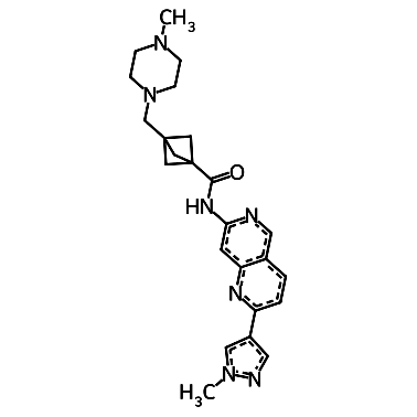 CN1CCN(CC23CC(C(=O)Nc4cc5nc(-c6cnn(C)c6)ccc5cn4)(C2)C3)CC1